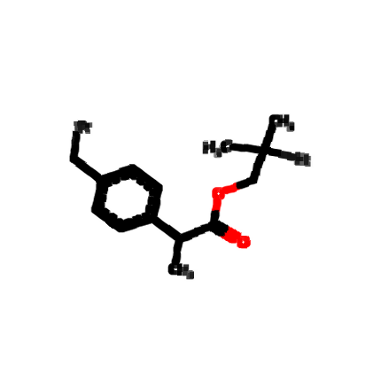 CCC(C)(C)COC(=O)C(C)c1ccc(CC(C)C)cc1